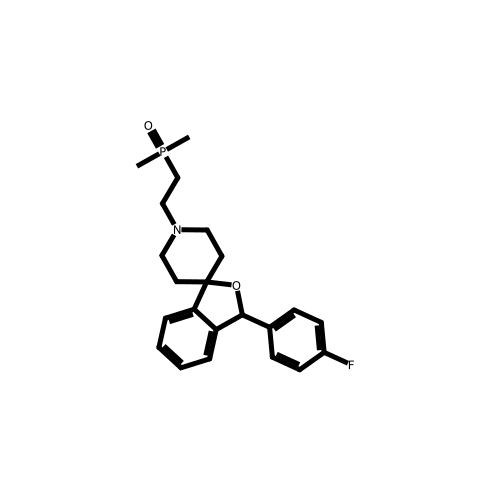 CP(C)(=O)CCN1CCC2(CC1)OC(c1ccc(F)cc1)c1ccccc12